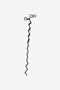 CCCCCCCCCCCC=CC=CC=CC=CC(=O)O